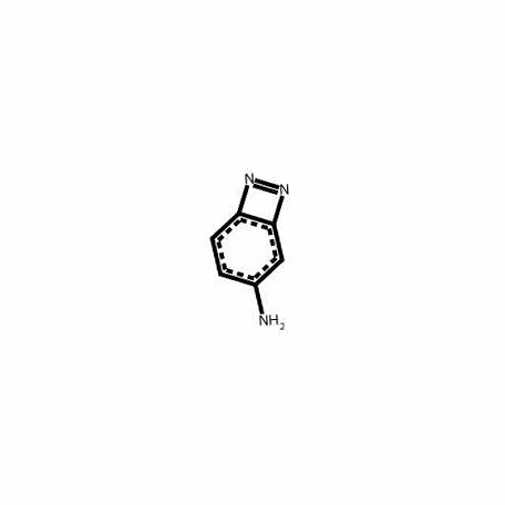 Nc1ccc2c(c1)N=N2